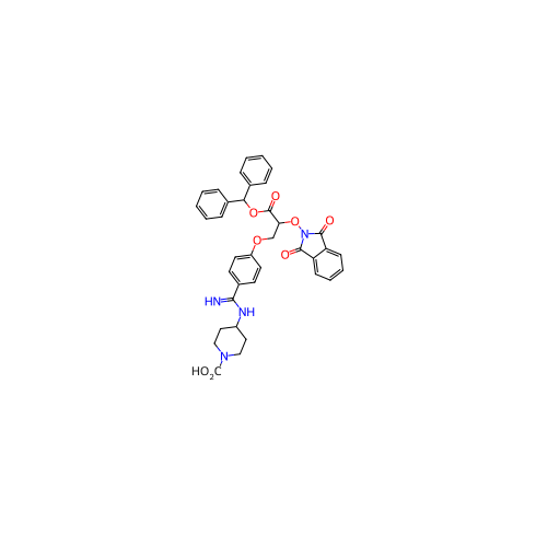 N=C(NC1CCN(C(=O)O)CC1)c1ccc(OCC(ON2C(=O)c3ccccc3C2=O)C(=O)OC(c2ccccc2)c2ccccc2)cc1